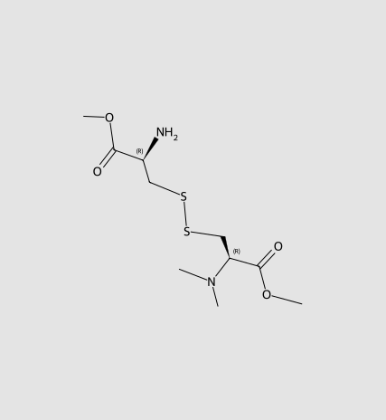 COC(=O)[C@@H](N)CSSC[C@@H](C(=O)OC)N(C)C